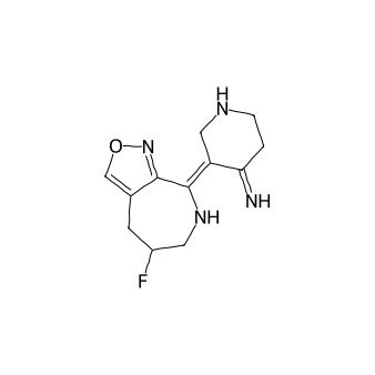 N=C1CCNC/C1=C1/NCC(F)Cc2conc21